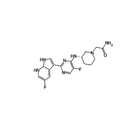 NC(=O)CN1CCC[C@H](Nc2nc(C3=CNC4NC=C(F)C=C34)ncc2F)C1